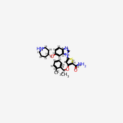 C[C@@H](Oc1cc(-n2cnc3ccc(O[C@@H]4CCCNCC4)cc32)sc1C(N)=O)c1ccccc1C(F)(F)F